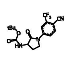 CC(C)(C)OC(=O)NC1CCN(c2ccc(C#N)c(C(F)(F)F)c2)C1=O